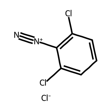 N#[N+]c1c(Cl)cccc1Cl.[Cl-]